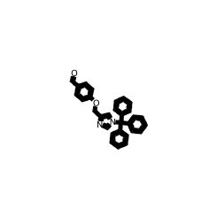 O=Cc1ccc(OCc2cn(C(c3ccccc3)(c3ccccc3)c3ccccc3)cn2)cc1